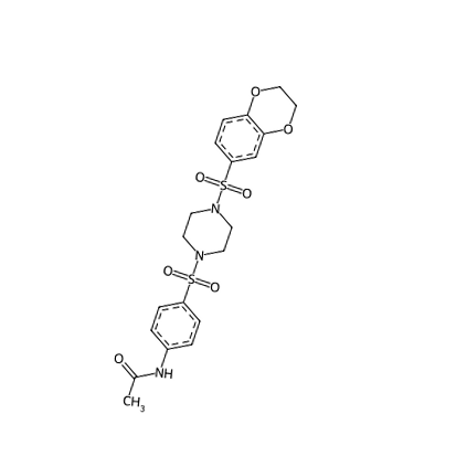 CC(=O)Nc1ccc(S(=O)(=O)N2CCN(S(=O)(=O)c3ccc4c(c3)OCCO4)CC2)cc1